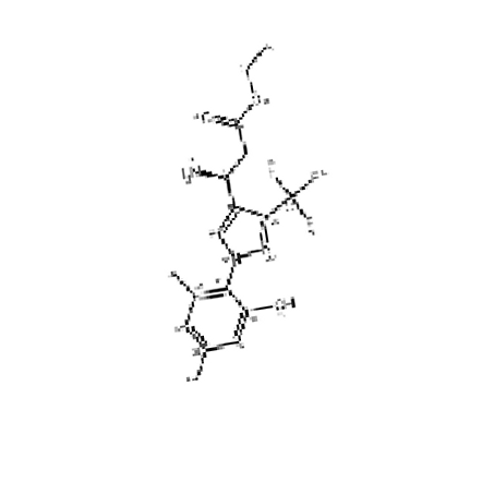 CCOC(=O)C[C@H](N)c1cn(-c2c(C)cc(C)cc2O)nc1C(F)(F)F